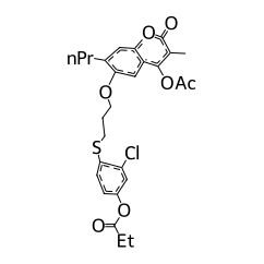 CCCc1cc2oc(=O)c(C)c(OC(C)=O)c2cc1OCCCSc1ccc(OC(=O)CC)cc1Cl